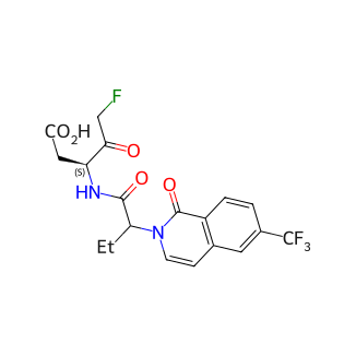 CCC(C(=O)N[C@@H](CC(=O)O)C(=O)CF)n1ccc2cc(C(F)(F)F)ccc2c1=O